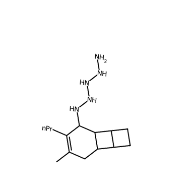 CCCC1=C(C)CC2C3CCC3C2C1NNNNN